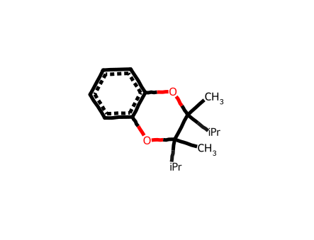 CC(C)C1(C)Oc2ccccc2OC1(C)C(C)C